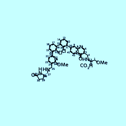 COC[C@H](NCc1cnc2cc(-c3cccc(-c4cccc(-c5ccc(CNC[C@@H]6CCC(=O)N6)c(OC)n5)c4Cl)c3Cl)ccn2c1=O)C(=O)O